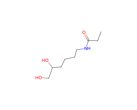 CCC(=O)NCCCCC(O)CO